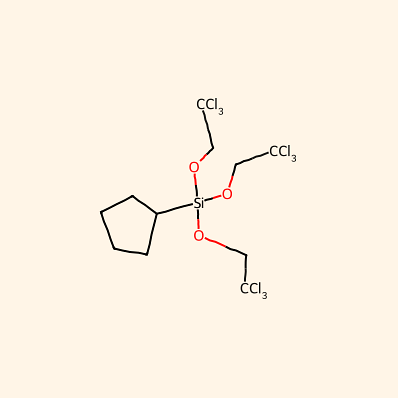 ClC(Cl)(Cl)CO[Si](OCC(Cl)(Cl)Cl)(OCC(Cl)(Cl)Cl)C1CCCC1